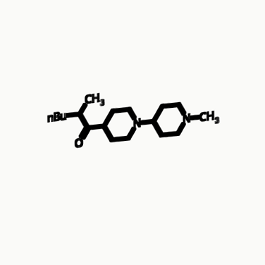 CCCCC(C)C(=O)C1CCN(C2CCN(C)CC2)CC1